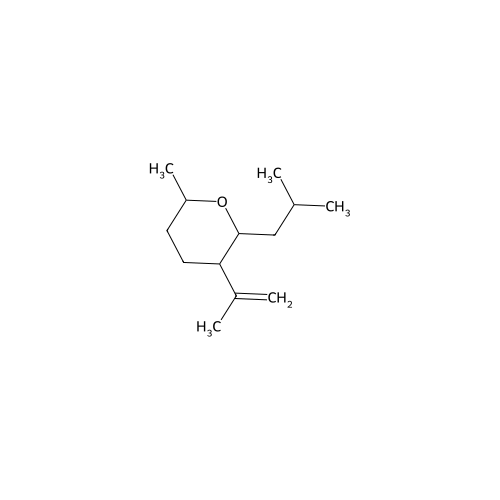 C=C(C)C1CCC(C)OC1CC(C)C